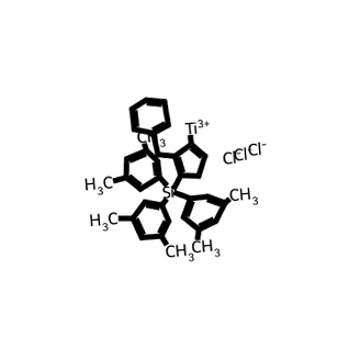 Cc1cc(C)cc([Si](C2=C(Cc3ccccc3)[C]([Ti+3])=CC2)(c2cc(C)cc(C)c2)c2cc(C)cc(C)c2)c1.[Cl-].[Cl-].[Cl-]